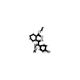 CCOC(=O)C1CCCCC1C(=O)C(N=[N+]=[N-])c1ccc(Br)cc1